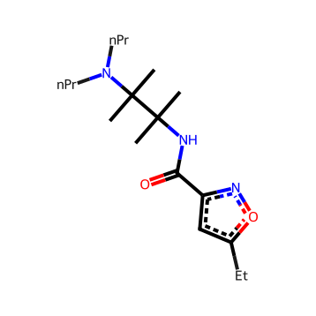 CCCN(CCC)C(C)(C)C(C)(C)NC(=O)c1cc(CC)on1